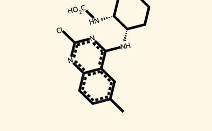 Cc1ccc2nc(Cl)nc(N[C@H]3CCCC[C@H]3NC(=O)O)c2c1